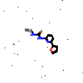 CCOC(=O)NC(=S)Nc1cccc(-c2ccco2)n1